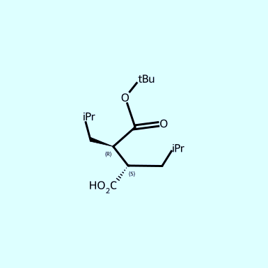 CC(C)C[C@H](C(=O)O)[C@@H](CC(C)C)C(=O)OC(C)(C)C